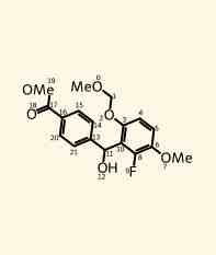 COCOc1ccc(OC)c(F)c1C(O)c1ccc(C(=O)OC)cc1